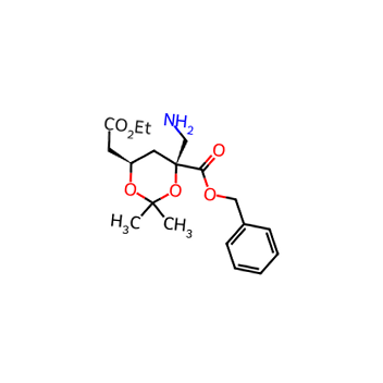 CCOC(=O)C[C@H]1C[C@](CN)(C(=O)OCc2ccccc2)OC(C)(C)O1